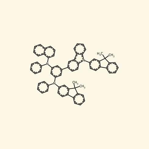 CC1(C)c2ccccc2-c2ccc(N(c3ccccc3)c3cc(-c4ccc5c(c4)c4ccccc4n5-c4ccc5c(c4)C(C)(C)c4ccccc4-5)cc(N(c4ccccc4)c4cccc5ccccc45)c3)cc21